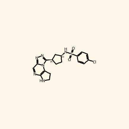 O=S(=O)(N[C@H]1CC[C@@H](c2nnc3cnc4c(n23)CCN4)C1)c1ccc(Cl)cc1